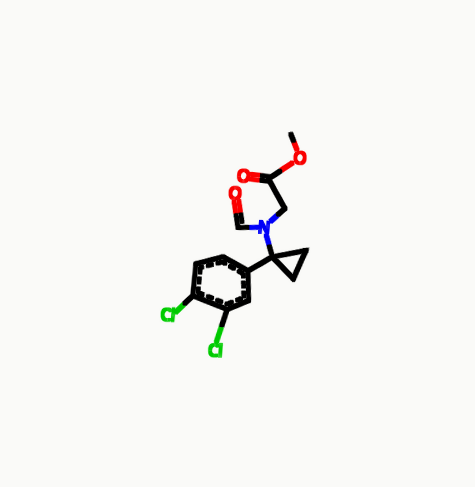 COC(=O)CN(C=O)C1(c2ccc(Cl)c(Cl)c2)CC1